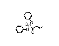 CC=CC(=O)P(=O)(Oc1ccccc1)Oc1ccccc1